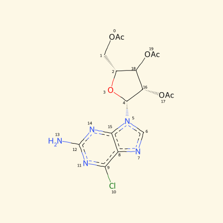 CC(=O)OC[C@H]1O[C@@H](n2cnc3c(Cl)nc(N)nc32)[C@@H](OC(C)=O)C1OC(C)=O